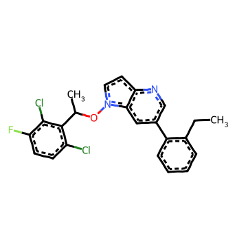 CCc1ccccc1-c1cnc2ccn(OC(C)c3c(Cl)ccc(F)c3Cl)c2c1